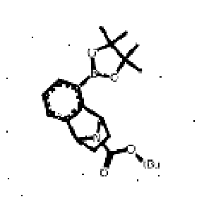 CC(C)(C)OC(=O)N1C2CCC1c1c(B3OC(C)(C)C(C)(C)O3)cccc12